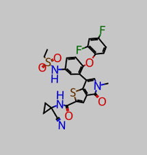 CCS(=O)(=O)Nc1ccc(Oc2ccc(F)cc2F)c(-c2cn(C)c(=O)c3cc(C(=O)NC4(C#N)CC4)sc23)c1